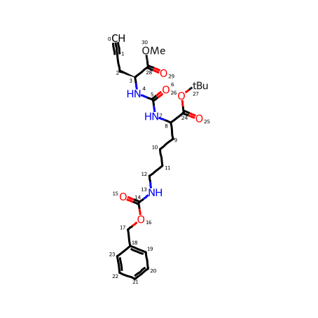 C#CC[C@H](NC(=O)NC(CCCCNC(=O)OCc1ccccc1)C(=O)OC(C)(C)C)C(=O)OC